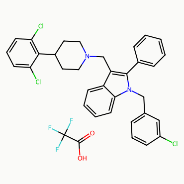 Clc1cccc(Cn2c(-c3ccccc3)c(CN3CCC(c4c(Cl)cccc4Cl)CC3)c3ccccc32)c1.O=C(O)C(F)(F)F